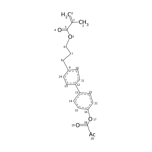 C=C(C)C(=O)OCCCc1ccc(-c2ccc(OC(=O)C(C)=O)cc2)cc1